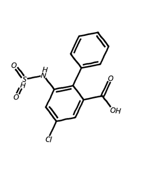 O=C(O)c1cc(Cl)cc(N[SH](=O)=O)c1-c1ccccc1